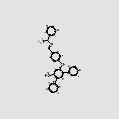 NC(/N=C/c1ccc(Nc2cc(O)c(-c3ccccc3)cc2-c2ccccc2)cc1)c1ccccc1